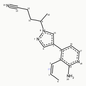 C/C=C\c1c(-c2cnn(C(C)CCC#N)c2)ccnc1N